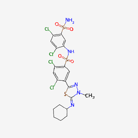 Cn1nc(-c2cc(S(=O)(=O)Nc3cc(S(N)(=O)=O)c(Cl)cc3Cl)c(Cl)cc2Cl)sc1=NC1CCCCC1